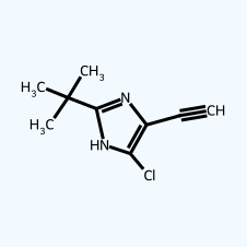 C#Cc1nc(C(C)(C)C)[nH]c1Cl